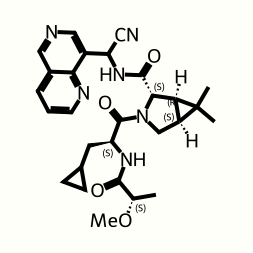 CO[C@@H](C)C(=O)N[C@@H](CC1CC1)C(=O)N1C[C@H]2[C@@H]([C@H]1C(=O)NC(C#N)c1cncc3cccnc13)C2(C)C